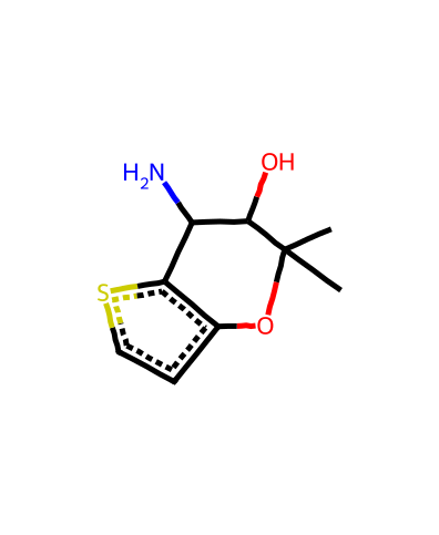 CC1(C)Oc2ccsc2C(N)C1O